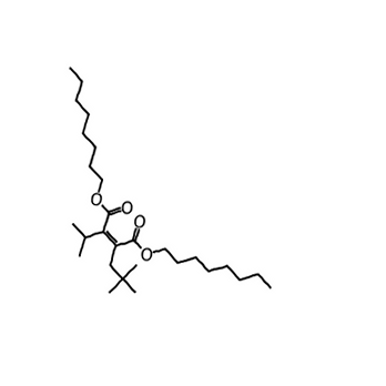 CCCCCCCCOC(=O)/C(CC(C)(C)C)=C(\C(=O)OCCCCCCCC)C(C)C